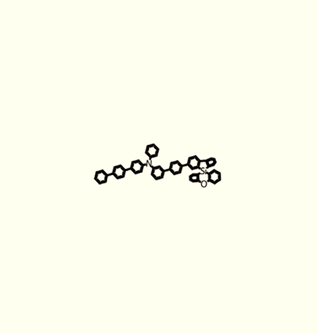 c1ccc(-c2ccc(-c3ccc(N(c4ccccc4)c4cccc(-c5ccc(-c6ccc7c(c6)[Si]6(c8ccccc8Oc8ccccc86)c6ccccc6-7)cc5)c4)cc3)cc2)cc1